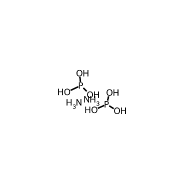 N.N.OP(O)O.OP(O)O